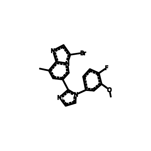 COc1cc(-n2ccnc2-c2cc(C)c3ncc(Br)n3c2)ccc1F